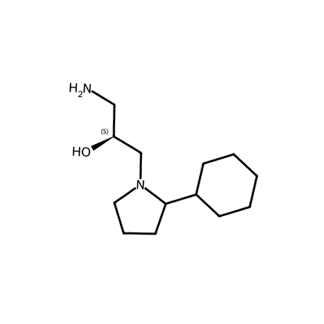 NC[C@H](O)CN1CCCC1C1CCCCC1